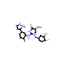 COc1cn(Cc2ccc(F)c(Cl)c2)c(Nc2cc(-c3ccnn3C)ccc2C)nc1=O